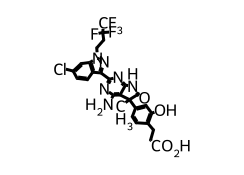 CC1(c2ccc(CCC(=O)O)c(O)c2)C(=O)Nc2nc(-c3nn(CCC(F)(F)C(F)(F)F)c4cc(Cl)ccc34)nc(N)c21